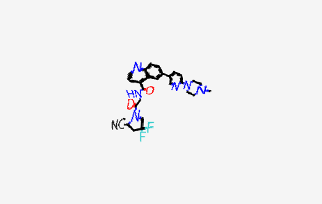 CN1CCN(c2ccc(-c3ccc4nccc(C(=O)NCC(=O)N5CC(F)(F)C[C@H]5C#N)c4c3)cn2)CC1